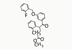 COC(=O)CCC(C(=O)c1cccc(OCc2ccccc2F)c1)c1ccccc1C